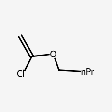 C=C(Cl)OCCCC